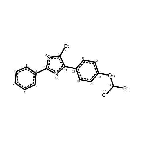 CCc1sc(-c2ccccc2)nc1-c1ccc(OC(Cl)CC)cc1